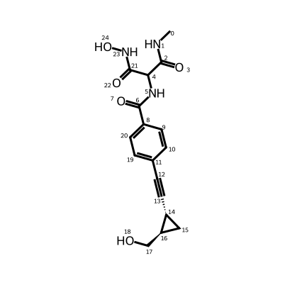 CNC(=O)C(NC(=O)c1ccc(C#C[C@@H]2C[C@H]2CO)cc1)C(=O)NO